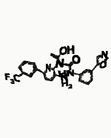 C=C(O)N(C(=O)Nc1cccc(-c2cnco2)c1)c1nc(-c2cccc(C(F)(F)F)c2)ccc1N